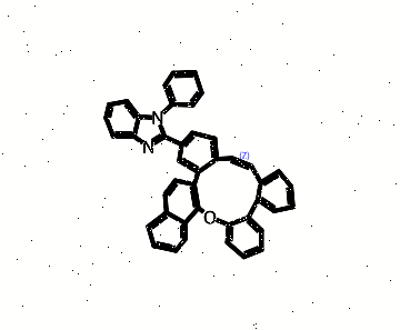 C1=C\c2ccc(-c3nc4ccccc4n3-c3ccccc3)cc2-c2ccc3ccccc3c2Oc2ccccc2-c2ccccc2/1